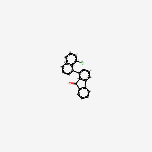 O=C1c2ccccc2-c2cccc(-c3cccc4cccc(Cl)c34)c21